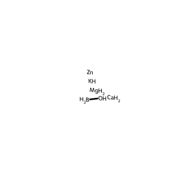 BO.[CaH2].[KH].[MgH2].[Zn]